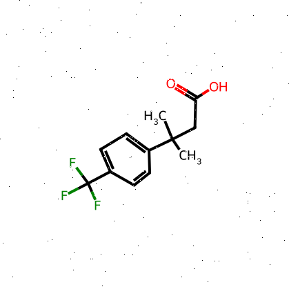 CC(C)(CC(=O)O)c1ccc(C(F)(F)F)cc1